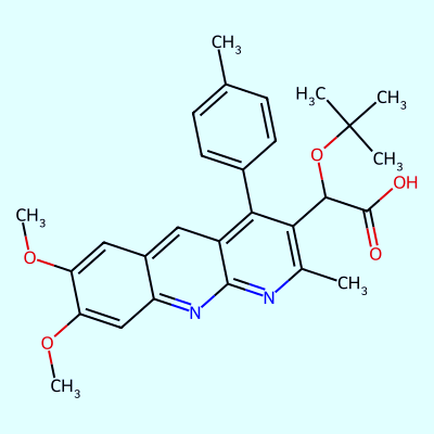 COc1cc2cc3c(-c4ccc(C)cc4)c(C(OC(C)(C)C)C(=O)O)c(C)nc3nc2cc1OC